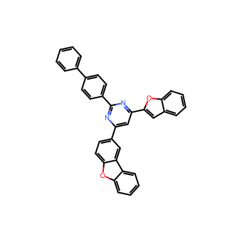 c1ccc(-c2ccc(-c3nc(-c4ccc5oc6ccccc6c5c4)cc(-c4cc5ccccc5o4)n3)cc2)cc1